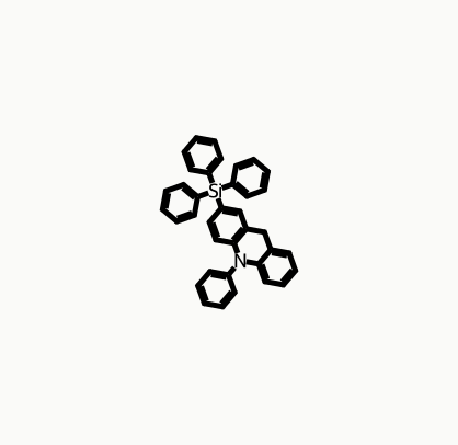 c1ccc(N2c3ccccc3Cc3cc([Si](c4ccccc4)(c4ccccc4)c4ccccc4)ccc32)cc1